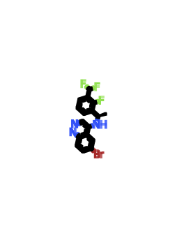 C[C@@H](Nc1cnnc2ccc(Br)cc12)c1cccc(C(F)F)c1F